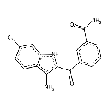 NC(=O)c1cccc(C(=O)c2[nH]c3cc(Cl)ccc3c2N)c1